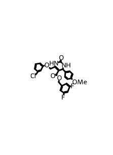 COc1ccc(C2NC(=O)NC(COc3cccc(Cl)c3)=C2C(=O)OCc2cc(F)cc(F)c2)cc1